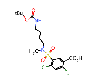 CN(CCCCNC(=O)OC(C)(C)C)S(=O)(=O)c1cc(C(=O)O)c(Cl)cc1Cl